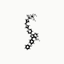 CC(C)(C)OC(=O)N1CC(CN2CC(N3CCC(n4nc(-c5ccc(Oc6ccccc6)cc5)c5c(N)ncnc54)CC3)C2)C1